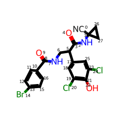 N#CC1(NC(=O)C(CNC(=O)c2ccc(Br)cc2)c2cc(Cl)c(O)c(Cl)c2)CC1